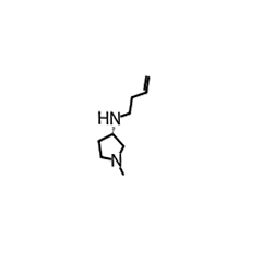 C=CCCN[C@H]1CCN(C)C1